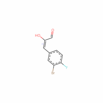 O=C/C(O)=C\c1ccc(F)c(Br)c1